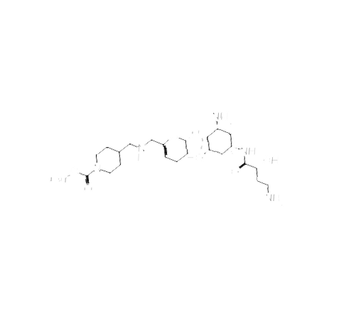 CC(C)(C)OC(=O)N1CCC(CNCC2=CCC[C@@H](O[C@H]3[C@H](O)C[C@H](NC(=O)[C@H](O)CCN)C[C@@H]3N)O2)CC1